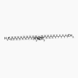 CCCCCCCCCCCCCCCCCCOCCCOCCCCCCCCCCCCCCCCCC.CN